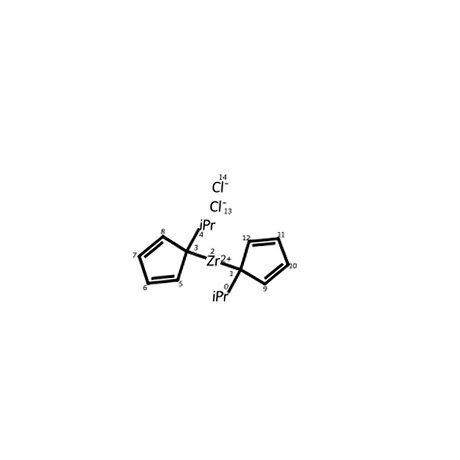 CC(C)[C]1([Zr+2][C]2(C(C)C)C=CC=C2)C=CC=C1.[Cl-].[Cl-]